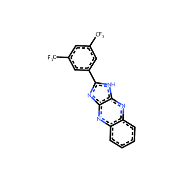 FC(F)(F)c1cc(-c2nc3nc4ccccc4nc3[nH]2)cc(C(F)(F)F)c1